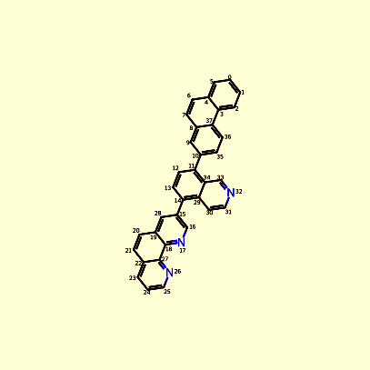 c1ccc2c(c1)ccc1cc(-c3ccc(-c4cnc5c(ccc6cccnc65)c4)c4ccncc34)ccc12